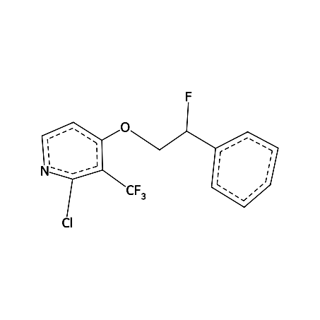 FC(COc1ccnc(Cl)c1C(F)(F)F)c1ccccc1